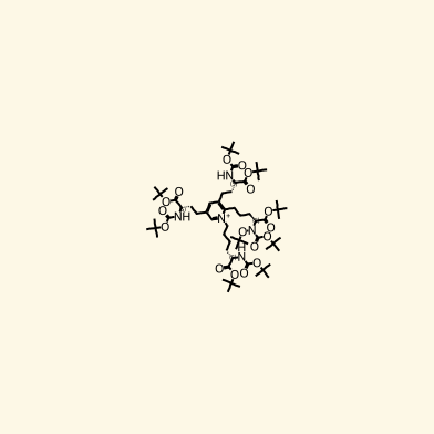 CC(C)(C)OC(=O)N[C@@H](CCCC[n+]1cc(CC[C@H](NC(=O)OC(C)(C)C)C(=O)OC(C)(C)C)cc(CC[C@H](NC(=O)OC(C)(C)C)C(=O)OC(C)(C)C)c1CCC[C@@H](C(=O)OC(C)(C)C)N(OC(C)(C)C)C(=O)OC(C)(C)C)C(=O)OC(C)(C)C